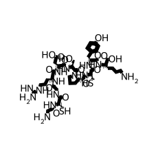 N=C(N)NCCC[C@H](NC(=O)CNC(=O)[C@H](CS)NC(=O)CN)C(=O)N[C@@H](CC(=O)O)C(=O)N[C@@H](CO)C(=O)N1CCC[C@H]1C(=O)N[C@@H](CS)C(=O)N[C@H](Cc1ccc(O)cc1)C(=O)N[C@@H](CCCCN)C(=O)O